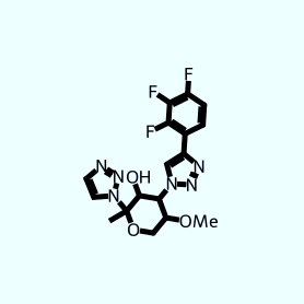 COC1COC(C)(n2ccnn2)C(O)C1n1cc(-c2ccc(F)c(F)c2F)nn1